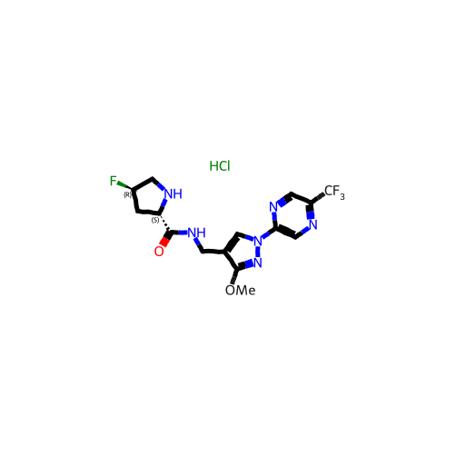 COc1nn(-c2cnc(C(F)(F)F)cn2)cc1CNC(=O)[C@@H]1C[C@@H](F)CN1.Cl